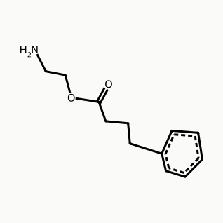 NCCOC(=O)CCCc1ccccc1